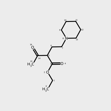 CCOC(=O)C(CCN1CCCCC1)C(C)=O